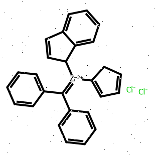 C1=CC[C]([Zr+2](=[C](c2ccccc2)c2ccccc2)[CH]2C=Cc3ccccc32)=C1.[Cl-].[Cl-]